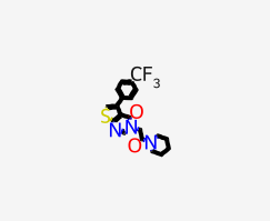 O=C(Cn1cnc2scc(-c3ccc(C(F)(F)F)cc3)c2c1=O)N1CCCCC1